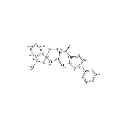 C[C@@H](c1ccc(-c2ccccc2)cc1)N1CCC(CCO)(c2ccccc2)OC1=O